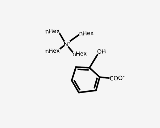 CCCCCC[N+](CCCCCC)(CCCCCC)CCCCCC.O=C([O-])c1ccccc1O